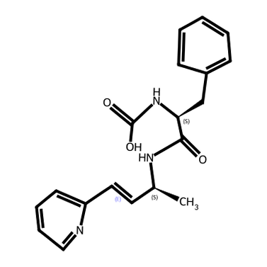 C[C@@H](/C=C/c1ccccn1)NC(=O)[C@H](Cc1ccccc1)NC(=O)O